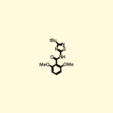 COc1cccc(OC)c1C(=O)Nc1nc(C(C)(C)C)ns1